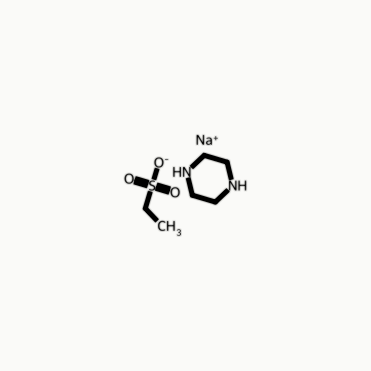 C1CNCCN1.CCS(=O)(=O)[O-].[Na+]